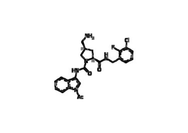 CC(=O)n1cc(NC(=O)N2C[C@@H](CN)C[C@H]2C(=O)NCc2cccc(Cl)c2F)c2ccccc21